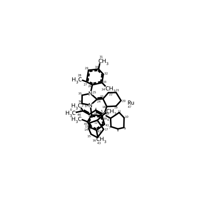 CC(C)=CC=P(C1CCCCC1)(C1CCCCC1)C1CCCCC1=C1N(c2c(C)cc(C)cc2C)CCN1c1c(C)cc(C)cc1C.[Ru]